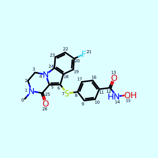 CN1CCn2c(c(Sc3ccc(C(=O)NO)cc3)c3cc(F)ccc32)C1=O